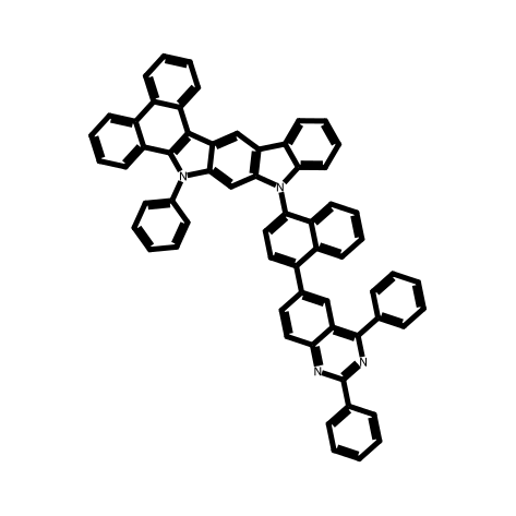 c1ccc(-c2nc(-c3ccccc3)c3cc(-c4ccc(-n5c6ccccc6c6cc7c8c9ccccc9c9ccccc9c8n(-c8ccccc8)c7cc65)c5ccccc45)ccc3n2)cc1